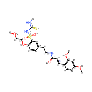 CNC(=S)NS(=O)(=O)c1cc(CCNC(=O)/C=C/c2ccc(OC)cc2OC)ccc1OCCOC